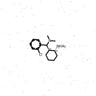 CC(=O)N[C@@H]1CCCC[C@H]1C(c1ccccc1Cl)N(C)C